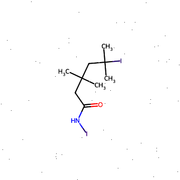 CC(C)(I)CC(C)(C)CC(=O)NI